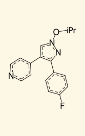 CC(C)On1cc(-c2ccncc2)c(-c2ccc(F)cc2)n1